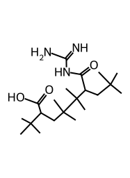 CC(C)(C)CC(C(=O)NC(=N)N)C(C)(C)C(C)(C)CC(C(=O)O)C(C)(C)C